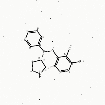 Fc1ccc(F)c(OC(c2cncnc2)[C@H]2CCNC2)c1Cl